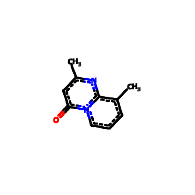 Cc1cc(=O)n2cccc(C)c2n1